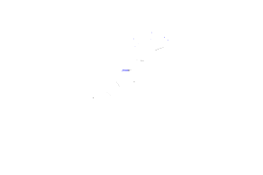 COCC1CC(O)(c2cc3ccc(-c4cnc5nn(C)cc5c4)nc3s2)C1